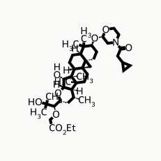 CCOC(=O)CO[C@@H]([C@H]1C[C@@H](C)[C@H]2[C@H](O1)[C@H](O)[C@@]1(C)[C@@H]3CC[C@H]4C(C)(C)[C@@H](O[C@H]5CN(C(=O)CC6CC6)CCO5)CC[C@@]45C[C@@]35CC[C@]21C)C(C)(C)O